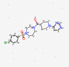 O=C(C1CCN(c2ccncn2)CC1)N1CCCN(S(=O)(=O)c2ccc(Br)cc2)CC1